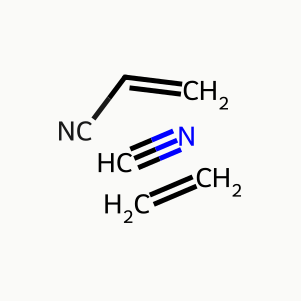 C#N.C=C.C=CC#N